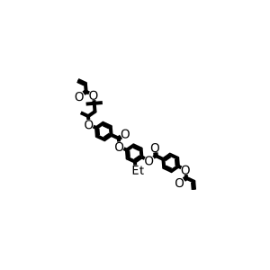 C=CC(=O)Oc1ccc(C(=O)Oc2ccc(OC(=O)c3ccc(OC(C)CC(C)(C)OC(=O)C=C)cc3)cc2CC)cc1